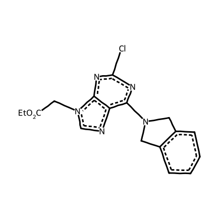 CCOC(=O)Cn1cnc2c(N3Cc4ccccc4C3)nc(Cl)nc21